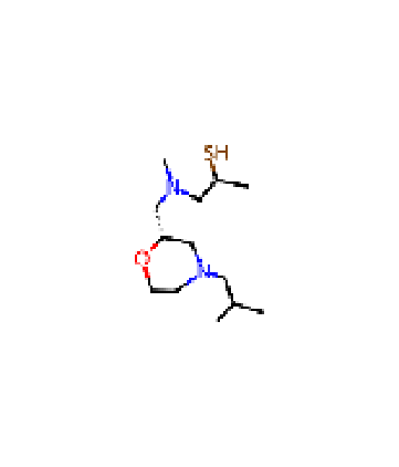 CC(C)CN1CCO[C@H](CN(C)CC(C)S)C1